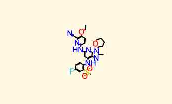 CCOc1ccc(Nc2cc(Nc3ccc(F)cc3S(C)(=O)=O)c3nc(C)n(C4CCCCO4)c3n2)nc1C#N